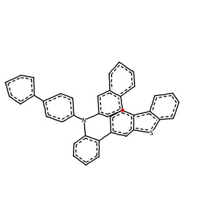 c1ccc(-c2ccc(N(c3ccc4ccccc4c3)c3ccccc3-c3ccc4c(c3)sc3ccccc34)cc2)cc1